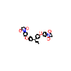 CCCC(c1ccc(Oc2ccc(N3C(=O)C=CC3=O)cc2)cc1)c1ccc(Oc2ccc(N3C(=O)C=CC3=O)cc2)cc1